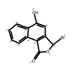 O=C1OC(Br)c2cc(O)c3ccccc3c21